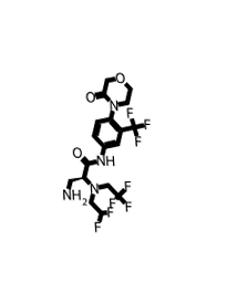 NC[C@@H](C(=O)Nc1ccc(N2CCOCC2=O)c(C(F)(F)F)c1)N(CC(F)F)CC(F)(F)F